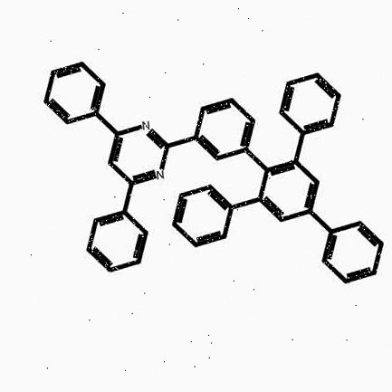 c1ccc(-c2cc(-c3ccccc3)c(-c3cccc(-c4nc(-c5ccccc5)cc(-c5ccccc5)n4)c3)c(-c3ccccc3)c2)cc1